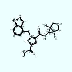 CNC(=O)c1cc(C(=O)N[C@H]2[C@@H]3COC[C@@H]32)n(Cc2cccc3[nH]ncc23)n1